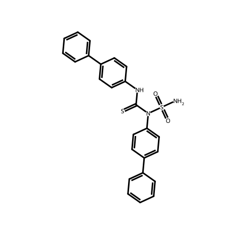 NS(=O)(=O)N(C(=S)Nc1ccc(-c2ccccc2)cc1)c1ccc(-c2ccccc2)cc1